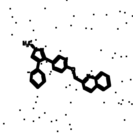 Cn1cc(-c2ccccc2)c(-c2ccc(OCc3ccc4ccccc4n3)nc2)n1